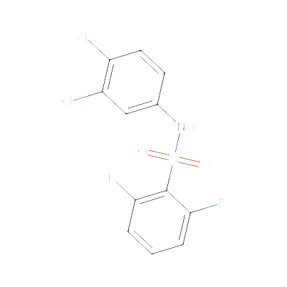 O=S(=O)(Nc1ccc(Cl)c(Cl)c1)c1c(F)cccc1F